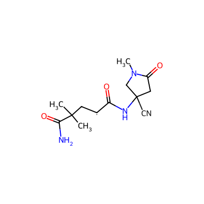 CN1CC(C#N)(NC(=O)[CH]CC(C)(C)C(N)=O)CC1=O